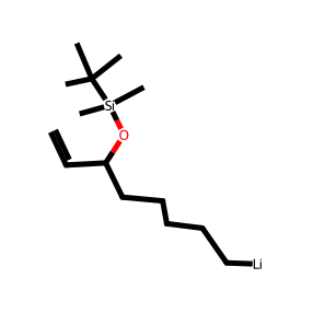 [Li][CH2]CCCCC(C=C)O[Si](C)(C)C(C)(C)C